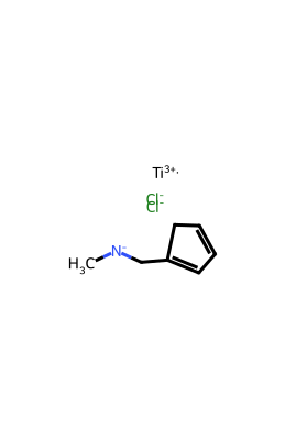 C[N-]CC1=CC=CC1.[Cl-].[Cl-].[Ti+3]